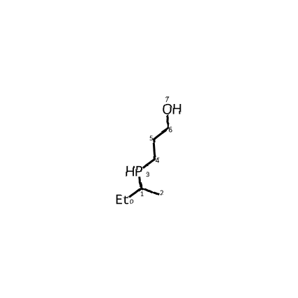 CCC(C)PCCCO